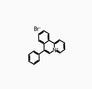 [Br-].c1ccc(-c2c[n+]3ccccc3c3ccccc23)cc1